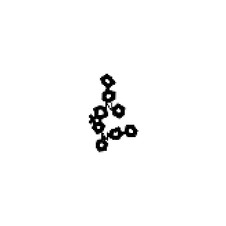 CC1(C)c2ccc(N(c3ccccc3)c3ccc(-c4ccccc4)cc3)cc2-c2cc(N(c3ccccc3)c3ccc(-c4ccccc4)cc3)ccc21